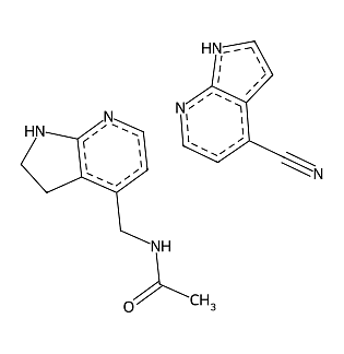 CC(=O)NCc1ccnc2c1CCN2.N#Cc1ccnc2[nH]ccc12